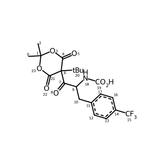 CC1(C)OC(=O)C(C(=O)C(Cc2ccc(C(F)(F)F)cc2)NC(=O)O)(C(C)(C)C)C(=O)O1